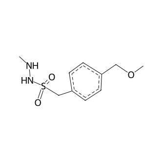 CNNS(=O)(=O)Cc1ccc(COC)cc1